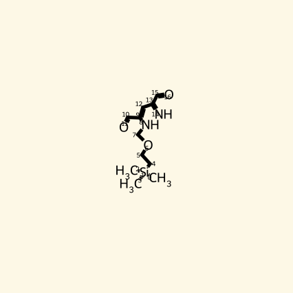 C[Si](C)(C)CCOCN/C(C=O)=C\C(=N)C=O